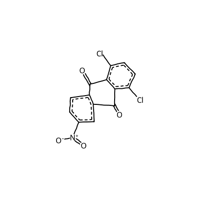 O=C1c2ccc([N+](=O)[O-])cc2C(=O)c2c(Cl)ccc(Cl)c21